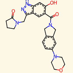 O=C1CCCN1Cc1n[nH]c2cc(O)c(C(=O)N3Cc4ccc(N5CCOCC5)cc4C3)cc12